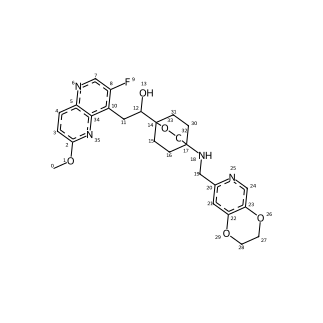 COc1ccc2ncc(F)c(CC(O)C34CCC(NCc5cc6c(cn5)OCCO6)(CC3)CO4)c2n1